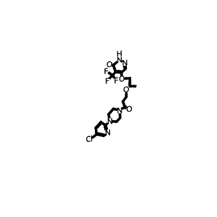 CC(COc1cn[nH]c(=O)c1C(F)(F)F)OCCC(=O)N1CCN(c2ccc(Cl)cn2)CC1